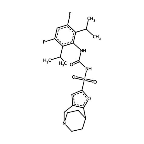 CC(C)c1c(F)cc(F)c(C(C)C)c1NC(=O)NS(=O)(=O)c1cc2c(o1)C1CCN(CC1)C2